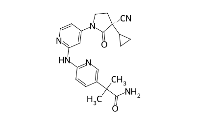 CC(C)(C(N)=O)c1ccc(Nc2cc(N3CC[C@@](C#N)(C4CC4)C3=O)ccn2)nc1